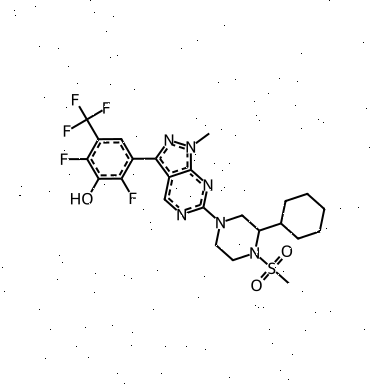 Cn1nc(-c2cc(C(F)(F)F)c(F)c(O)c2F)c2cnc(N3CCN(S(C)(=O)=O)C(C4CCCCC4)C3)nc21